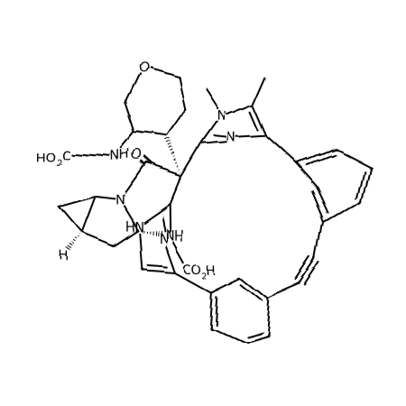 Cc1c2nc(n1C)[C@@](C(=O)N1C3C[C@@H]3C[C@H]1NC(=O)O)(C1CCOCC1NC(=O)O)c1nc(c[nH]1)-c1cccc(c1)C#Cc1cccc-2c1